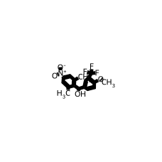 COc1ccc(C(O)c2c(C)cc([N+](=O)[O-])cc2C)cc1C(F)(F)F